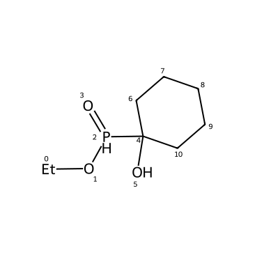 CCO[PH](=O)C1(O)CCCCC1